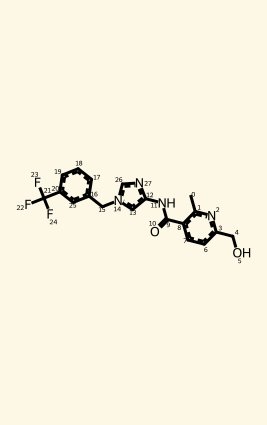 Cc1nc(CO)ccc1C(=O)Nc1cn(Cc2cccc(C(F)(F)F)c2)cn1